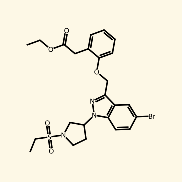 CCOC(=O)Cc1ccccc1OCc1nn(C2CCN(S(=O)(=O)CC)C2)c2ccc(Br)cc12